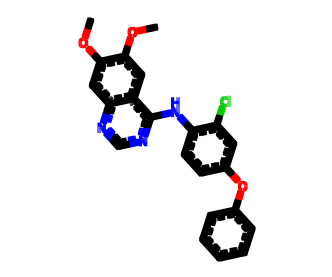 COc1cc2ncnc(Nc3ccc(Oc4ccccc4)cc3Cl)c2cc1OC